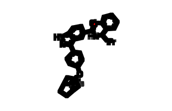 CC(C)C(NC(=O)c1ccc2[nH]nc(-c3ccc(OC4CC5CCC(C4)N5C)cc3)c2c1)c1ccccc1Cl